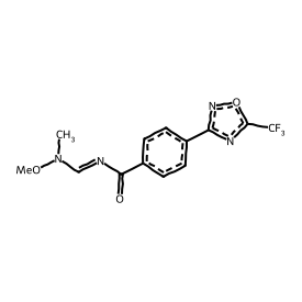 CON(C)C=NC(=O)c1ccc(-c2noc(C(F)(F)F)n2)cc1